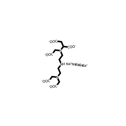 O=C([O-])CC(C(=O)[O-])N(CCNCCN(CC(=O)[O-])CC(=O)[O-])CC(=O)[O-].[Na+].[Na+].[Na+].[Na+].[Na+]